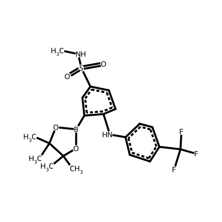 CNS(=O)(=O)c1ccc(Nc2ccc(C(F)(F)F)cc2)c(B2OC(C)(C)C(C)(C)O2)c1